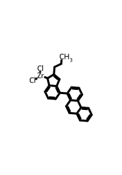 CCCC1=Cc2c(-c3cccc4c3ccc3ccccc34)cccc2[CH]1[Zr]([Cl])[Cl]